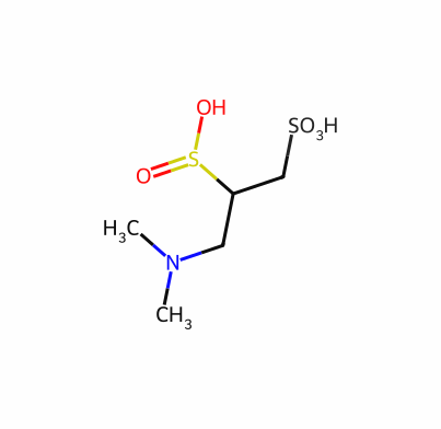 CN(C)CC(CS(=O)(=O)O)S(=O)O